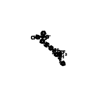 C[S+]([O-])c1c(-c2cccc(N3CCN(c4ccc(NSc5ccc(NCCSc6ccccc6)c(S(=O)(=O)C(F)(F)F)c5)cc4)CC3)c2)c(-c2ccc(Cl)cc2)n2c1CCCC2